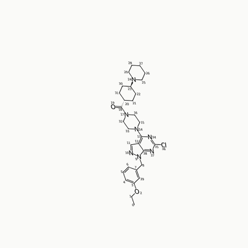 CCOc1cccc(Cn2ncc3c(N4CCN(C(=O)[C@H]5CC[C@H](N6CCCCC6)CC5)CC4)nc(Cl)nc32)c1